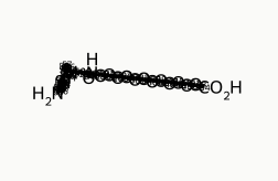 C[n+]1c(/C=C2\C=CN(CCCCCC(=O)NCCOCCOCCOCCOCCOCCOCCOCCOCCOCCOCCOCCOCCC(=O)O)c3ccccc32)sc2cc(N)ccc21